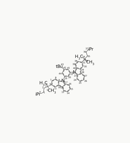 CC(C)CCC(C)(C)c1ccc2c(c1)c1ccccc1n2-c1cc(-n2c3ccccc3c3cc(C(C)(C)CCC(C)C)ccc32)cc(C(C)(C)C)c1